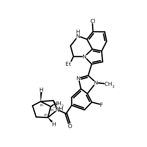 CCC1CNc2c(Cl)ccc3cc(-c4nc5cc(C(=O)N6C[C@H]7CC[C@@H]6[C@@H]7N)cc(F)c5n4C)n1c23